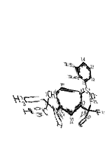 CC(C)(C)Nc1ccc([S+]([O-])c2ccccc2)c(C(F)(F)F)c1